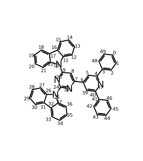 c1ccc(-c2cc(-c3cc(-n4c5ccccc5c5ccccc54)nc(-n4c5ccccc5c5ccccc54)n3)cc(-c3ccccc3)n2)cc1